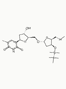 C[Se]C[C@@H]1O[C@@H](OC[C@H]2O[C@@H](n3cc(C)c(=O)[nH]c3=O)C[C@@H]2O)C[C@@H]1O[Si](C)(C)C(C)(C)C